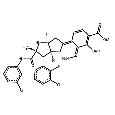 COC(=O)C1=C(OC)C(=N/N)/C(=C2\C[C@@H]3[C@H](C2)N[C@@](C)(C(=O)Nc2cccc(Cl)c2)[C@H]3c2cccc(Cl)c2F)C=C1